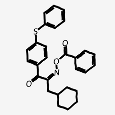 O=C(ON=C(CC1CCCCC1)C(=O)c1ccc(Sc2ccccc2)cc1)c1ccccc1